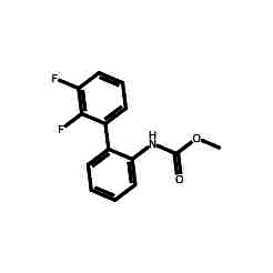 COC(=O)Nc1ccccc1-c1cccc(F)c1F